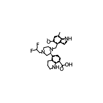 COc1cc(C)c2[nH]ccc2c1CN1CCN(CC(F)F)C[C@@H]1c1ccc(C(=O)O)c2c1CCCN2